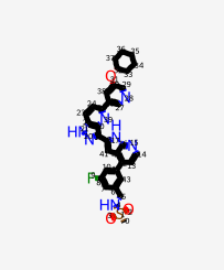 CS(=O)(=O)NCc1cc(F)cc(-c2ccnc3[nH]c(-c4n[nH]c5ccc(-c6cncc(OC7CCCCC7)c6)nc45)cc23)c1